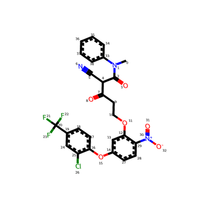 CN(C(=O)C(C#N)C(=O)CCOc1cc(Oc2ccc(C(F)(F)F)cc2Cl)ccc1[N+](=O)[O-])c1ccccc1